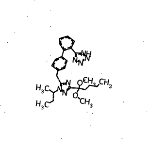 CCCCC(OC)(OC)c1nc(Cc2ccc(-c3ccccc3-c3nnn[nH]3)cc2)n(C(C)CC)n1